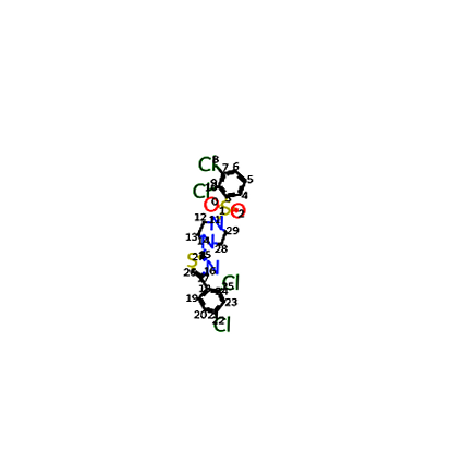 O=S(=O)(c1cccc(Cl)c1Cl)N1CCN(c2nc(-c3ccc(Cl)cc3Cl)cs2)CC1